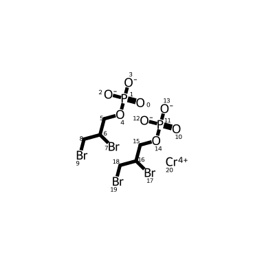 O=P([O-])([O-])OCC(Br)CBr.O=P([O-])([O-])OCC(Br)CBr.[Cr+4]